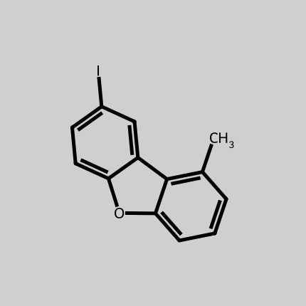 Cc1cccc2oc3ccc(I)cc3c12